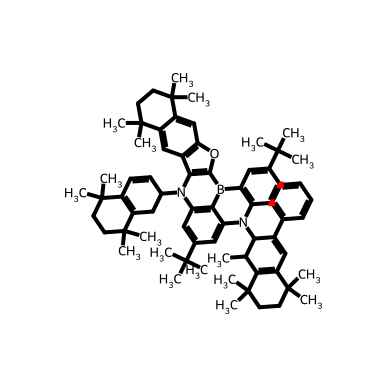 CC1C2=C(C=C(c3ccccc3)C1N1c3ccc(C(C)(C)C)cc3B3c4oc5cc6c(cc5c4N(C4C=CC5=C(C4)C(C)(C)CCC5(C)C)c4cc(C(C)(C)C)cc1c43)C(C)(C)CCC6(C)C)C(C)(C)CCC2(C)C